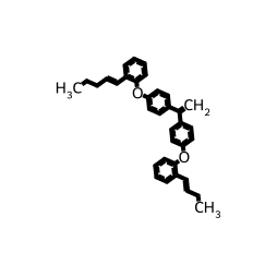 C=C(c1ccc(Oc2ccccc2/C=C/CC)cc1)c1ccc(Oc2ccccc2/C=C/CCC)cc1